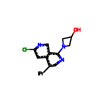 CC(C)c1cnc(N2CC(O)C2)c2cnc(Cl)cc12